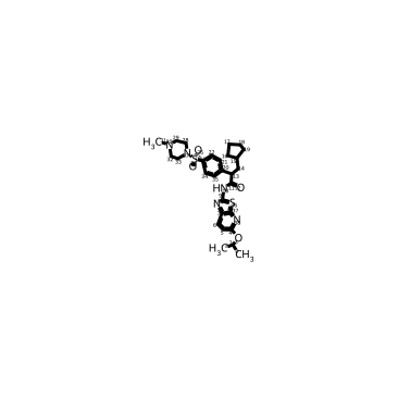 CC(C)Oc1ccc2nc(NC(=O)C(CC3CCCC3)c3ccc(S(=O)(=O)N4CCN(C)CC4)cc3)sc2n1